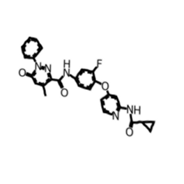 Cc1cc(=O)n(-c2ccccc2)nc1C(=O)Nc1ccc(Oc2ccnc(NC(=O)C3CC3)c2)c(F)c1